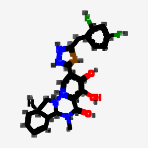 CN1C(=O)c2c(O)c(=O)c(-c3nnc(Cc4ccc(F)cc4F)s3)cn2N2C[C@@H]3C=CC=CC3C12